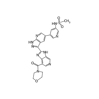 CS(=O)(=O)Nc1cncc(-c2cnc3[nH]nc(-c4nc5c(C(=O)N6CCOCC6)cncc5[nH]4)c3c2)c1